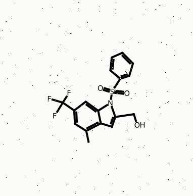 Cc1cc(C(F)(F)F)cc2c1cc(CO)n2S(=O)(=O)c1ccccc1